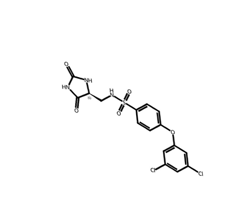 O=C1NC(=O)[C@H](CNS(=O)(=O)c2ccc(Oc3cc(Cl)cc(Cl)c3)cc2)N1